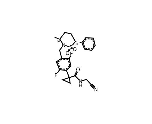 C[C@H]1CC[C@H](c2ccccc2)S(=O)(=O)N1Cc1cc(F)c(C2(C(=O)NCC#N)CC2)cc1F